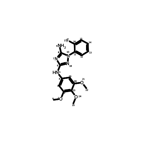 COc1cc(Nc2nc(N)n(-c3ccccc3F)n2)cc(OC)c1OC